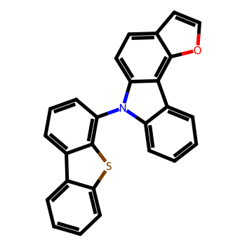 c1ccc2c(c1)sc1c(-n3c4ccccc4c4c5occc5ccc43)cccc12